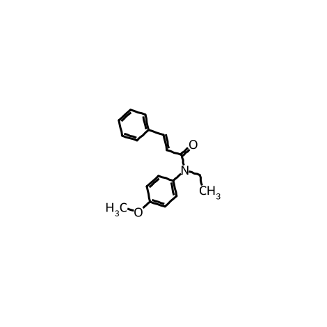 CCN(C(=O)C=Cc1ccccc1)c1ccc(OC)cc1